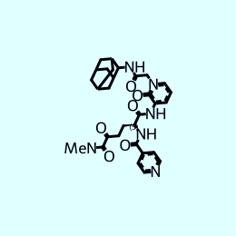 CNC(=O)C(=O)CC[C@H](NC(=O)c1ccncc1)C(=O)Nc1cccn(CC(=O)NC2C3CC4CC(C3)CC2C4)c1=O